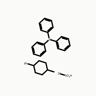 CC1CCC(C(C)C)CC1.O=S(=O)([O-])O.c1ccc([S+](c2ccccc2)c2ccccc2)cc1